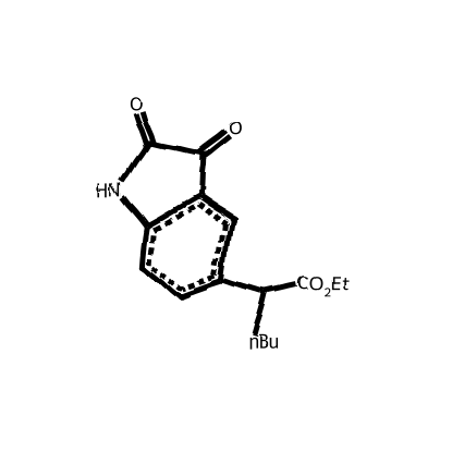 CCCCC(C(=O)OCC)c1ccc2c(c1)C(=O)C(=O)N2